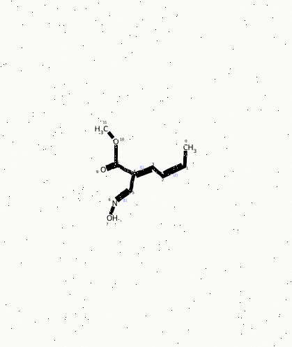 C\C=C/C=C(\C=N\O)C(=O)OC